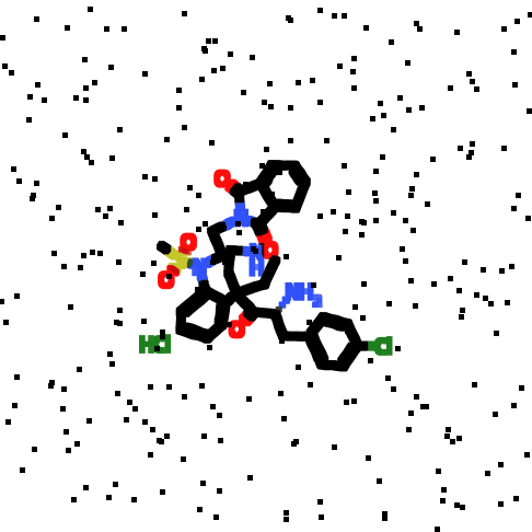 CS(=O)(=O)N(CCN1C(=O)c2ccccc2C1=O)c1ccccc1C1(C(=O)[C@H](N)Cc2ccc(Cl)cc2)CCNCC1.Cl